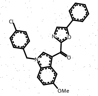 COc1ccc2c(c1)c(C(=O)c1ncc(-c3ccccc3)o1)cn2Cc1ccc(Cl)cc1